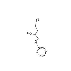 OC(CCCl)COc1ccccc1